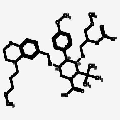 COCCCN1CCOc2ccc(CO[C@H]3CN(C(=O)O)C(C(C)(C)C)[C@@H](OCC(COC)O[N+](=O)[O-])[C@@H]3c3ccc(OC)cc3)cc21